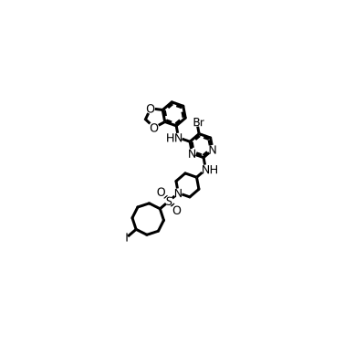 O=S(=O)(C1CCCC(I)CCC1)N1CCC(Nc2ncc(Br)c(Nc3cccc4c3OCO4)n2)CC1